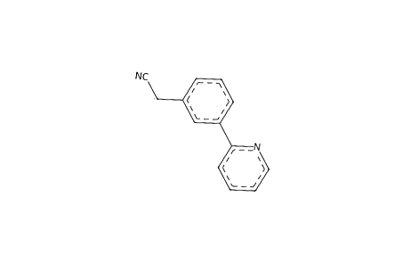 N#C[CH]c1cccc(-c2ccccn2)c1